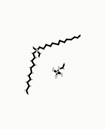 CCCCCCCCCCCCC[N+](C)(CC)CCCCCCCCCCCC.CCOS(=O)(=O)[O-]